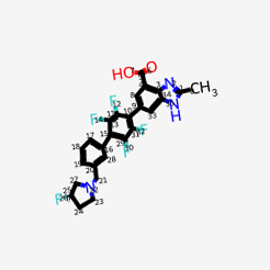 Cc1nc2c(C(=O)O)cc(-c3c(F)c(F)c(-c4cccc(CN5CC[C@@H](F)C5)c4)c(F)c3F)cc2[nH]1